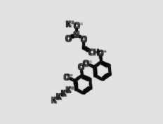 C=CO[Si](=O)[O-].[K+].[K+].[K+].[K+].[K+].[O-]c1ccccc1[O-].[O-]c1ccccc1[O-]